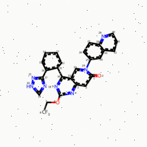 O=c1cc2nc(OCC(F)(F)F)nc(-c3ccccc3-c3nc[nH]n3)c2cn1-c1ccc2ncccc2c1